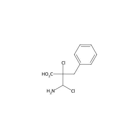 NC(Cl)C(Cl)(Cc1ccccc1)C(=O)O